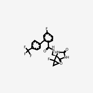 O=C1NC(=O)[C@](CNC(=O)c2ccc(F)cc2-c2ccc(C(F)(F)F)cc2)(C2(F)CC2)N1